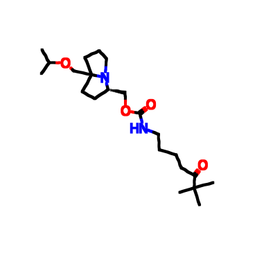 CC(C)OCC12CCCN1[C@@H](COC(=O)NCCCCC(=O)C(C)(C)C)CC2